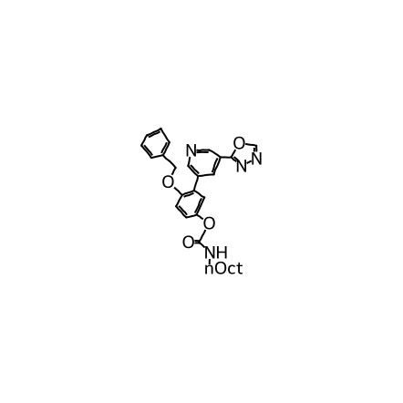 CCCCCCCCNC(=O)Oc1ccc(OCc2ccccc2)c(-c2cncc(-c3nnco3)c2)c1